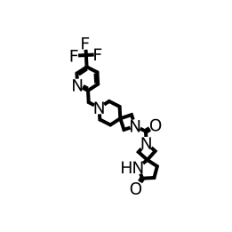 O=C1CCC2(CN(C(=O)N3CC4(CCN(Cc5ccc(C(F)(F)F)cn5)CC4)C3)C2)N1